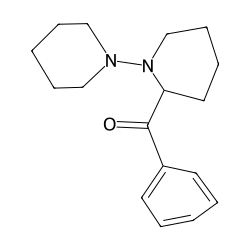 O=C(c1ccccc1)C1CCCCN1N1CCCCC1